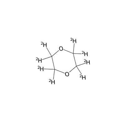 [2H]C1([2H])OC([2H])([2H])C([2H])([2H])OC1([2H])[2H]